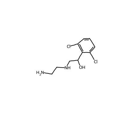 NCCNCC(O)c1c(Cl)cccc1Cl